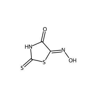 O=C1NC(=S)SC1=NO